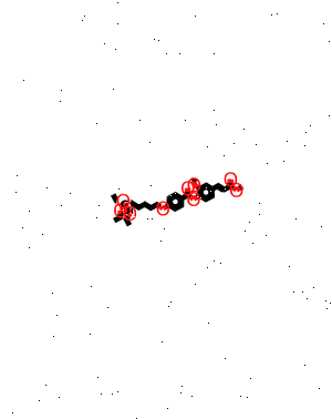 CCO[Si](CCCCCOc1ccc(C(=O)Oc2ccc(C=CC(=O)OC)cc2OC)cc1)(OCC)OCC